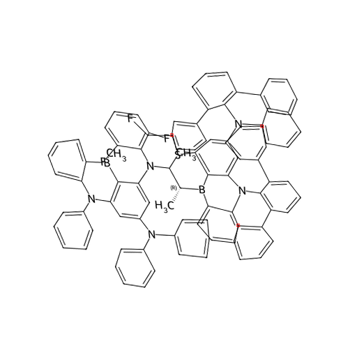 CB1c2ccccc2N(c2ccccc2)c2cc(N(c3ccccc3)c3ccccc3)cc(N(c3c(F)cccc3F)C(C)[C@@H](C)B3c4ccccc4N(c4c(-c5ccccc5)cccc4-c4ccccc4)c4cc(N(c5ccccc5)c5c(-c6ccccc6)cccc5-c5ccccc5)cc(SCCF)c43)c21